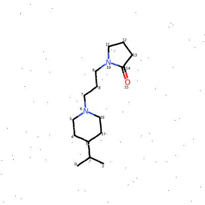 CC(C)C1CCN(CCCN2CCCC2=O)CC1